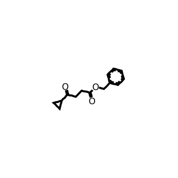 O=C(CCC(=O)C1CC1)OCc1ccccc1